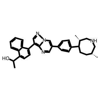 CC(O)c1ccc(-c2cnn3cc(-c4ccc(C5CC[C@@H](C)CNC[C@H]5C)cc4)cnc23)c2ccccc12